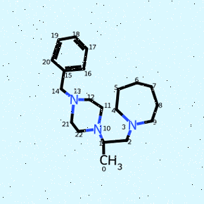 CC(CN1CCCCCC1)N1CCN(Cc2ccccc2)CC1